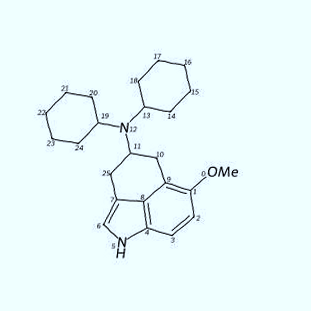 COc1ccc2[nH]cc3c2c1CC(N(C1CCCCC1)C1CCCCC1)C3